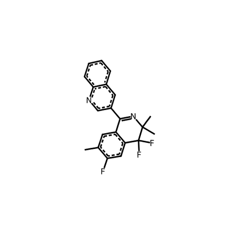 Cc1cc2c(cc1F)C(F)(F)C(C)(C)N=C2c1cnc2ccccc2c1